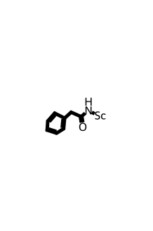 O=C(Cc1ccccc1)[NH][Sc]